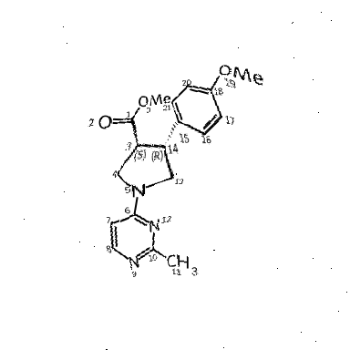 COC(=O)[C@@H]1CN(c2ccnc(C)n2)C[C@H]1c1ccc(OC)cc1